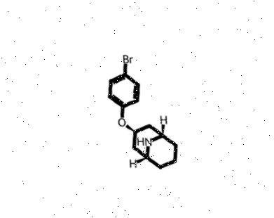 Brc1ccc(O[C@@H]2C[C@H]3CCC[C@@H](C2)N3)cc1